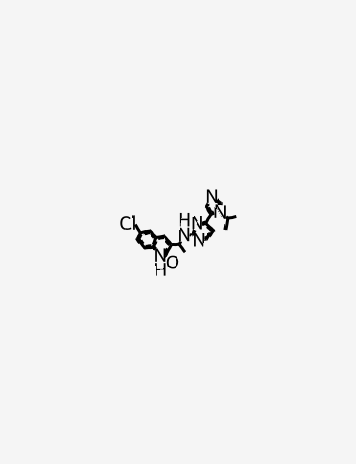 CC(Nc1nccc(-c2cncn2C(C)C)n1)c1cc2cc(Cl)ccc2[nH]c1=O